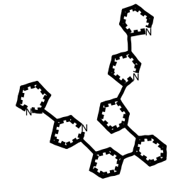 c1ccc(-c2ccc(-c3cccc(-c4ccccc4-c4cccc(-c5ccc(-c6ccccn6)cn5)c4)c3)nc2)nc1